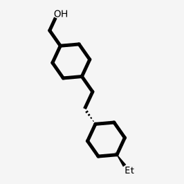 CC[C@H]1CC[C@H](CCC2CCC(CO)CC2)CC1